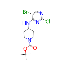 CC(C)(C)OC(=O)N1CCC(Nc2nc(Cl)ncc2Br)CC1